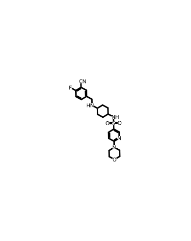 N#Cc1cc(CNC2CCC(NS(=O)(=O)c3ccc(N4CCOCC4)nc3)CC2)ccc1F